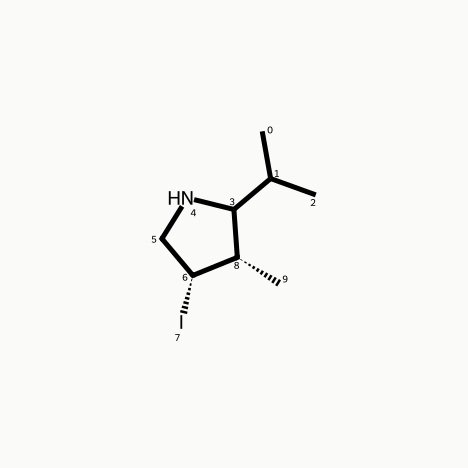 CC(C)C1NC[C@@H](I)[C@H]1C